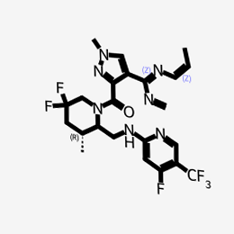 C=N/C(=N\C=C/C)c1cn(C)nc1C(=O)N1CC(F)(F)C[C@@H](C)C1CNc1cc(F)c(C(F)(F)F)cn1